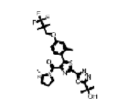 Cc1cc(OCC(C)(C)C(F)(F)F)ccc1-c1sc(-c2nnc(C(C)(C)O)o2)nc1C(=O)N1CCC[C@@H]1C